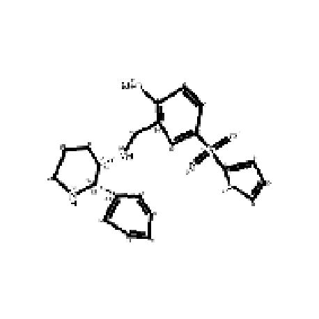 COc1ccc(S(=O)(=O)c2cccs2)cc1CN[C@H]1CCCN[C@H]1c1ccccc1